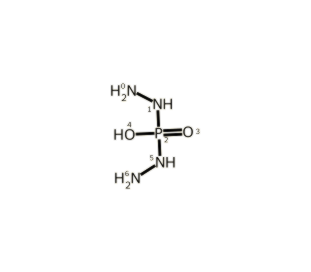 NNP(=O)(O)NN